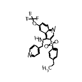 CCc1ccc(S(=O)(=O)c2cnc3ccc(OC(F)(F)F)cc3c2NCc2ccncc2)cc1